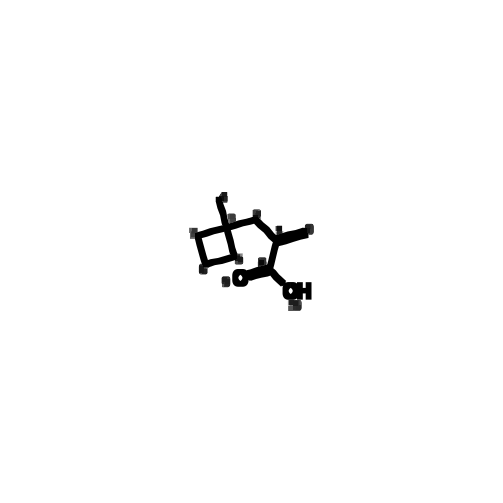 C=C(CC1(C)CCC1)C(=O)O